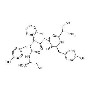 N[C@@H](CS)C(=O)N[C@@H](Cc1ccc(O)cc1)C(=O)N[C@@H](Cc1ccccc1)C(=O)N[C@@H](Cc1ccc(O)cc1)C(=O)N[C@@H](CS)C(=O)O